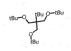 CC(C)(C)OCC(COC(C)(C)C)(COC(C)(C)C)C(C)(C)C